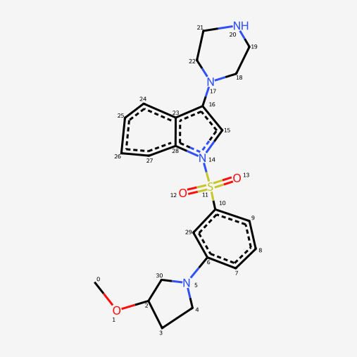 COC1CCN(c2cccc(S(=O)(=O)n3cc(N4CCNCC4)c4ccccc43)c2)C1